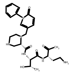 CC(=O)[C@H](CCN)NC(=O)[C@@H](NC(=O)[C@@H]1CNCCN1Cc1ccc(=O)n(-c2ccccc2)c1)[C@H](C)O